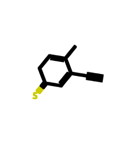 C#CC1=CC(=S)CC=C1C